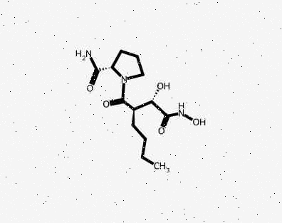 CCCC[C@@H](C(=O)N1CCC[C@H]1C(N)=O)[C@H](O)C(=O)NO